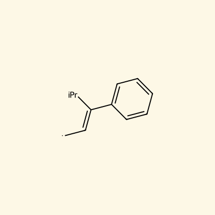 [CH2]C=C(c1ccccc1)C(C)C